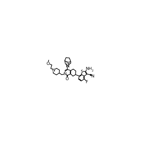 COCCN1CCC(Cn2cc(N3CC4CCC(C3)N4)c3c(c2=O)CC(c2ccc(F)c4c(C#N)c(N)sc24)CC3)CC1